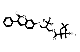 CC(C)(C)CC(C)(C(=O)OCC(COc1ccc2cc(-c3ccccc3)c(=O)oc2c1)C(F)(F)F)C(C)(C)N